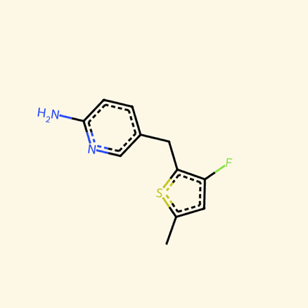 Cc1cc(F)c(Cc2ccc(N)nc2)s1